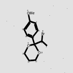 COc1ccc(C2(C(C)Br)OCCCO2)cc1